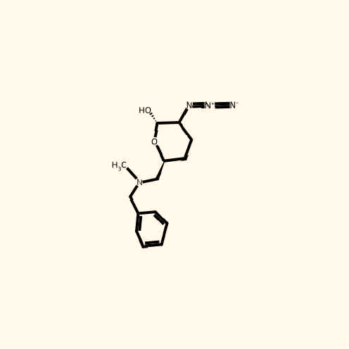 CN(Cc1ccccc1)C[C@@H]1CCC(N=[N+]=[N-])[C@@H](O)O1